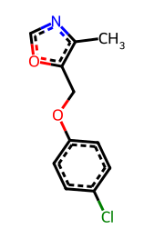 Cc1ncoc1COc1ccc(Cl)cc1